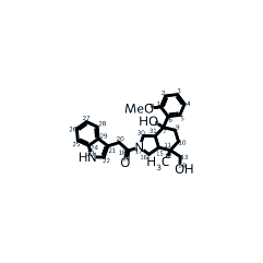 COc1ccccc1C1(O)CCC(C)(CO)C2CN(C(=O)Cc3c[nH]c4ccccc34)CC21